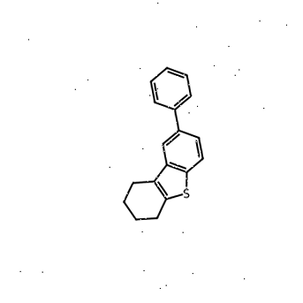 c1ccc(-c2ccc3sc4c(c3c2)CCCC4)cc1